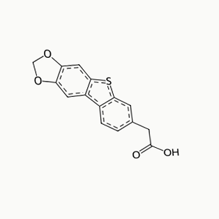 O=C(O)Cc1ccc2c(c1)sc1cc3c(cc12)OCO3